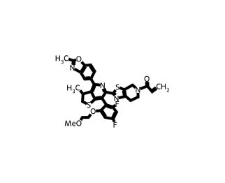 C=CC(=O)N1CCc2nc(-c3nc(-c4ccc5oc(C)nc5c4)c4c(c3-c3c(F)cc(F)cc3OCCOC)SCC4C)sc2C1